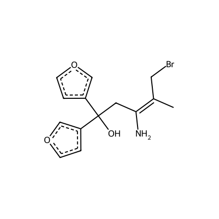 CC(CBr)=C(N)CC(O)(c1ccoc1)c1ccoc1